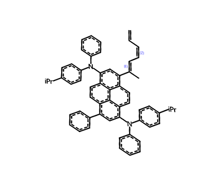 C=C/C=C\C=C(/C)c1cc(N(c2ccccc2)c2ccc(C(C)C)cc2)c2ccc3c(-c4ccccc4)cc(N(c4ccccc4)c4ccc(C(C)C)cc4)c4ccc1c2c34